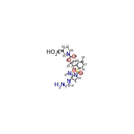 C=Nc1c(/N=C(\C)CN)ccn1S(=O)(=O)c1ccc(C)cc1CC(C)(C)OC(=O)N1CCC[C@@H](C(=O)O)C1